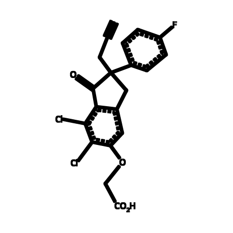 C#CCC1(c2ccc(F)cc2)Cc2cc(OCC(=O)O)c(Cl)c(Cl)c2C1=O